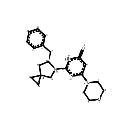 O=c1cc(N2CCOCC2)nc(N2CC3(CC3)C[C@H]2Cc2ccccc2)[nH]1